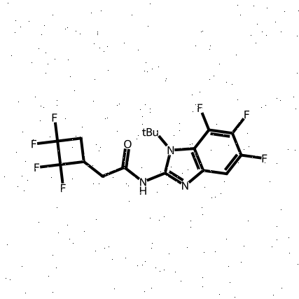 CC(C)(C)n1c(NC(=O)CC2CC(F)(F)C2(F)F)nc2cc(F)c(F)c(F)c21